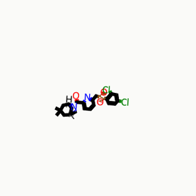 CC1(C)C[C@@H]2C[C@@](C)(CN2C(=O)c2cccc(CS(=O)(=O)c3ccc(Cl)cc3Cl)n2)C1